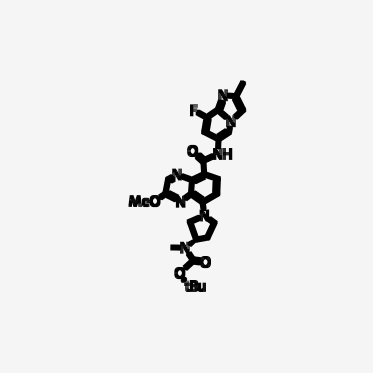 COc1cnc2c(C(=O)Nc3cc(F)c4nc(C)cn4c3)ccc(N3CC[C@@H](N(C)C(=O)OC(C)(C)C)C3)c2n1